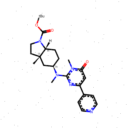 CN(c1nc(-c2ccncc2)cc(=O)n1C)[C@@H]1CC[C@H]2N(C(=O)OC(C)(C)C)CC[C@@]2(C)C1